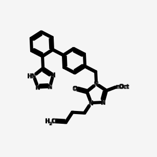 C=CCCn1nc(CCCCCCCC)n(Cc2ccc(-c3ccccc3-c3nnn[nH]3)cc2)c1=O